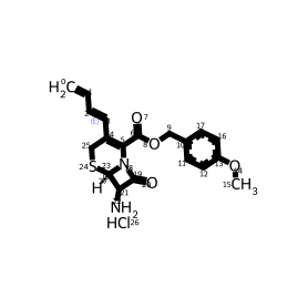 C=C/C=C/C1=C(C(=O)OCc2ccc(OC)cc2)N2C(=O)C(N)[C@H]2SC1.Cl